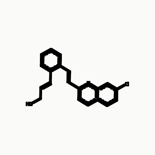 OCC=Cc1ccccc1C=Cc1ccc2ccc(Cl)cc2n1